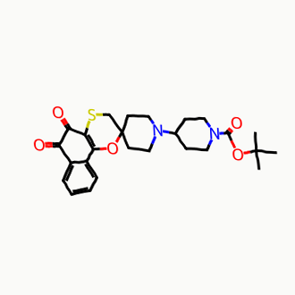 CC(C)(C)OC(=O)N1CCC(N2CCC3(CC2)CSC2=C(O3)c3ccccc3C(=O)C2=O)CC1